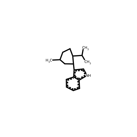 CC1CCC(C(C)C)C(c2c[nH]c3ccccc23)C1